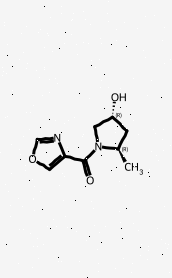 C[C@@H]1C[C@@H](O)CN1C(=O)c1cocn1